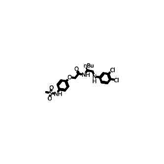 CCCC[C@@H](CNc1ccc(Cl)c(Cl)c1)NC(=O)COc1ccc(NS(C)(=O)=O)cc1